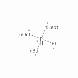 CCCCCCCC[PH](CC)(CCCC)CCCCCCC